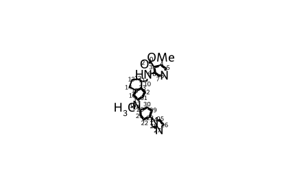 COC(=O)c1ccncc1NC[C@@H]1CCCc2cc(N(C)c3ccc(-n4ccnc4)cc3)ccc21